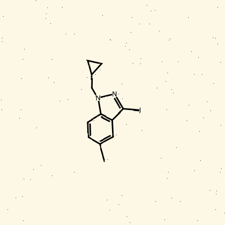 Cc1ccc2c(c1)c(I)nn2CC1CC1